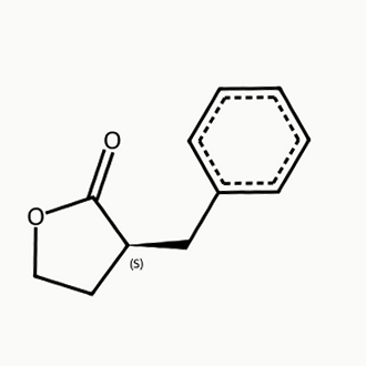 O=C1OCC[C@@H]1Cc1ccccc1